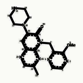 COc1nccnc1Cn1c(=O)c(N2CCNCC2)cc2ncc(C)nc21